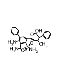 CC(C=Cc1cc(-c2ccccc2)c(N)c(C(N)=O)c1S(N)(=O)=O)C(C(=O)O)c1ccccc1